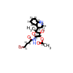 CC(=O)OC1=C(NC(=O)CCCBr)OC(C)(c2ccnc3ccccc23)C1=O